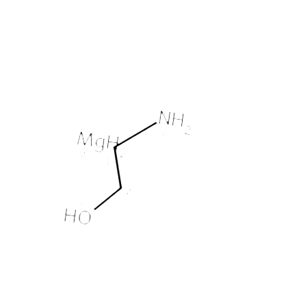 NCCO.[MgH2]